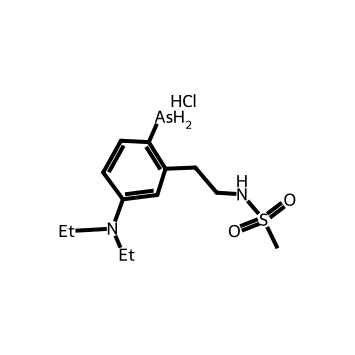 CCN(CC)c1ccc([AsH2])c(CCNS(C)(=O)=O)c1.Cl